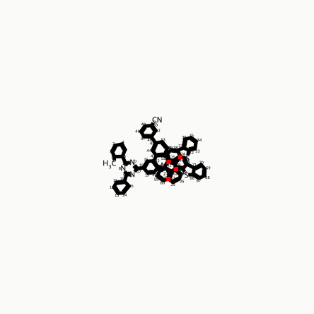 CC1C=CC=CC1c1nc(-c2ccccc2)nc(-c2ccc(-n3c4ccccc4c4c5sc6ccccc6c5ccc43)c(-c3cc(-c4cccc(C#N)c4)ccc3-n3c4ccccc4c4c5sc6ccccc6c5ccc43)c2)n1